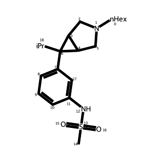 CCCCCCN1CC2C(C1)C2(c1cccc(NS(C)(=O)=O)c1)C(C)C